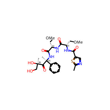 COC[C@H](NC(=O)c1cnc(C)s1)C(=O)N[C@@H](COC)C(=O)N[C@](C)(C(=O)[C@](C)(O)CO)c1ccccc1